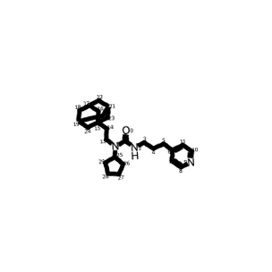 O=C(NCCCc1ccncc1)N(CCC12CC3CC(CC(C3)C1)C2)C1CCCC1